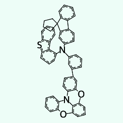 c1cc(-c2ccc3c(c2)Oc2cccc4c2N3c2ccccc2O4)cc(N(c2ccc3c(c2)C2(CCCC2)c2ccccc2-3)c2cccc3sc4ccccc4c23)c1